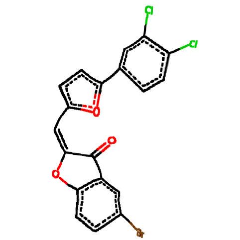 O=C1C(=Cc2ccc(-c3ccc(Cl)c(Cl)c3)o2)Oc2ccc(Br)cc21